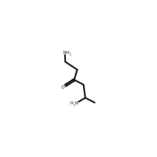 CC(N)CC(=O)CCN